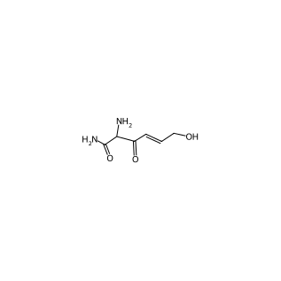 NC(=O)C(N)C(=O)/C=C/CO